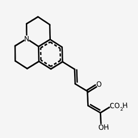 O=C(/C=C/c1cc2c3c(c1)CCCN3CCC2)/C=C(/O)C(=O)O